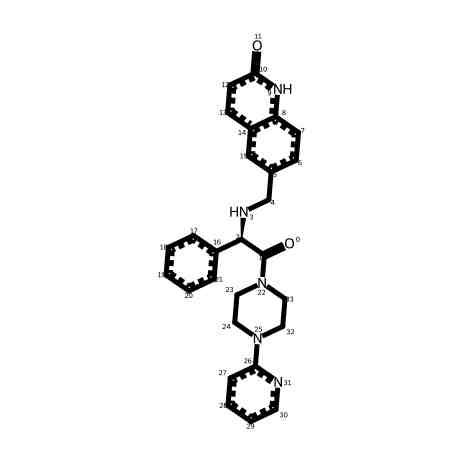 O=C([C@H](NCc1ccc2[nH]c(=O)ccc2c1)c1ccccc1)N1CCN(c2ccccn2)CC1